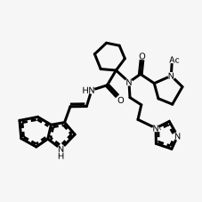 CC(=O)N1CCCC1C(=O)N(CCCn1ccnc1)C1(C(=O)NC=Cc2c[nH]c3ccccc23)CCCCC1